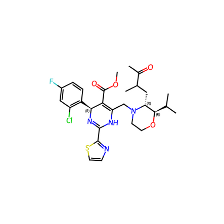 COC(=O)C1=C(CN2CCO[C@H](C(C)C)[C@H]2CC(C)C(C)=O)NC(c2nccs2)=N[C@H]1c1ccc(F)cc1Cl